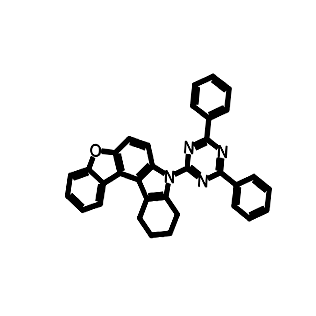 c1ccc(-c2nc(-c3ccccc3)nc(-n3c4c(c5c6c(ccc53)oc3ccccc36)CCCC4)n2)cc1